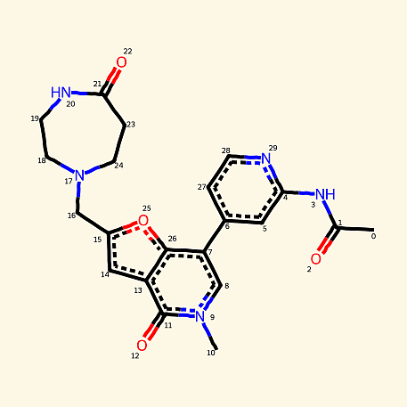 CC(=O)Nc1cc(-c2cn(C)c(=O)c3cc(CN4CCNC(=O)CC4)oc23)ccn1